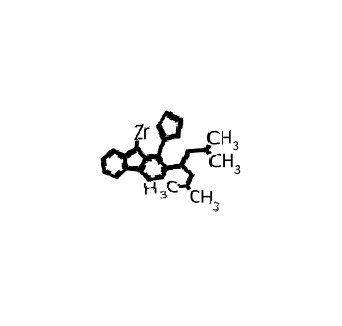 CC(C)CC(CC(C)C)=c1ccc2c(c1C1=CC=CC1)[C]([Zr])=c1ccccc1=2